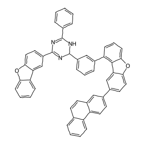 c1ccc(C2=NC(c3ccc4oc5ccccc5c4c3)=NC(c3cccc(-c4cccc5oc6ccc(-c7ccc8c(ccc9ccccc98)c7)cc6c45)c3)N2)cc1